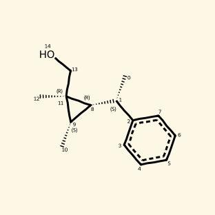 C[C@H](c1ccccc1)[C@@H]1[C@H](C)[C@@]1(C)CO